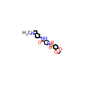 CCn1ccc2cc(NC(=O)C3CCN(S(=O)(=O)c4ccc5c(c4)OCCO5)CC3)ccc21